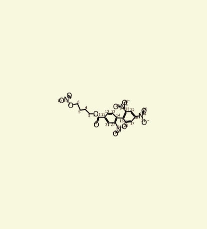 O=C(OCCCCO[N+](=O)[O-])c1ccc(-c2ccc([N+](=O)[O-])cc2[N+](=O)[O-])c([N+](=O)[O-])c1